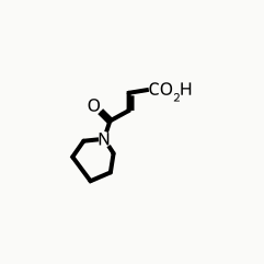 O=C(O)/C=C/C(=O)N1CCCCC1